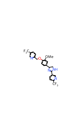 COc1cc(C2CNC(c3ccc(C(F)(F)F)nc3)=N2)ccc1OCc1ccc(C(F)(F)F)cn1